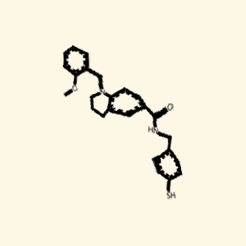 COc1ccccc1CN1CCCc2cc(C(=O)NCc3ccc(S)cc3)ccc21